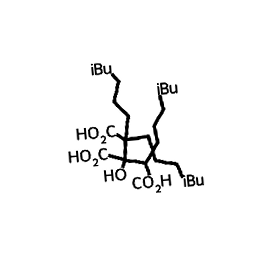 CCC(C)CCCC(C(=O)O)C(O)(C(=O)O)C(CCCC(C)CC)(CCCC(C)CC)C(=O)O